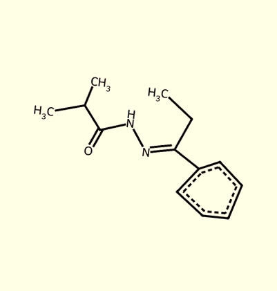 CCC(=NNC(=O)C(C)C)c1ccccc1